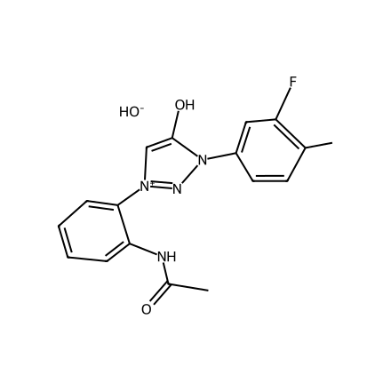 CC(=O)Nc1ccccc1-[n+]1cc(O)n(-c2ccc(C)c(F)c2)n1.[OH-]